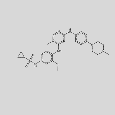 CCc1cc(NS(=O)(=O)C2CC2)ccc1Nc1nc(Nc2ccc(N3CCN(C)CC3)cc2)ncc1C